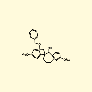 COc1ccc(C2(CCOCc3ccccc3)CCCc3cc(OC)ccc3C2O)cc1